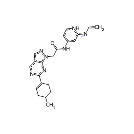 C=C/N=c1/cc(NC(=O)Cn2ncc3cnc(C4=CCC(C)CC4)nc32)cc[nH]1